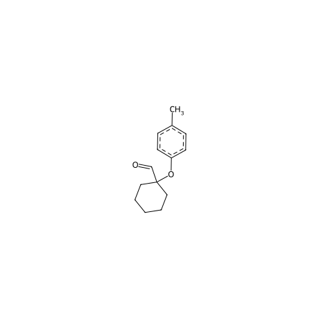 Cc1ccc(OC2(C=O)CCCCC2)cc1